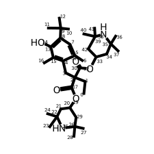 CCC(Cc1c(C)cc(C(C)(C)C)c(O)c1C)(C(=O)OC1CC(C)(C)NC(C)(C)C1)C(=O)OC1CC(C)(C)NC(C)(C)C1